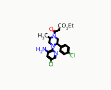 CCOC(=O)CC(=O)N1CC(c2ccc(Cl)cc2)N(c2ncc(Cl)cc2N)CC1C